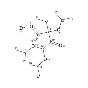 CCC(OC(C)C)(C(=O)[O-])C(=O)C(OC(C)C)OC(C)C.[Zr+]